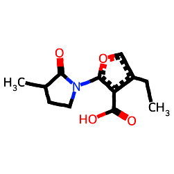 CCc1coc(N2CCC(C)C2=O)c1C(=O)O